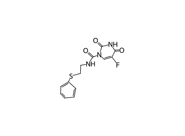 O=C(NCCSc1ccccc1)n1cc(F)c(=O)[nH]c1=O